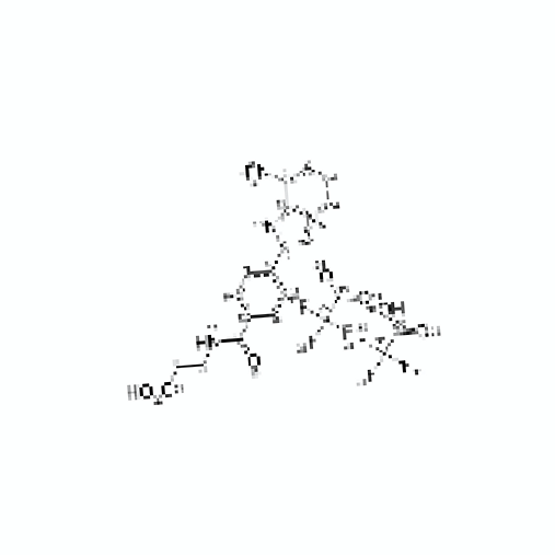 Nc1cccn2cc(-c3ccc(C(=O)NCCC(=O)O)cc3)nc12.O=C(O)C(F)(F)F.O=C(O)C(F)(F)F